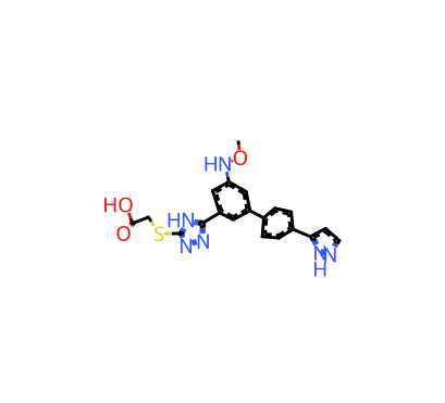 CONc1cc(-c2ccc(-c3ccn[nH]3)cc2)cc(-c2nnc(SCC(=O)O)[nH]2)c1